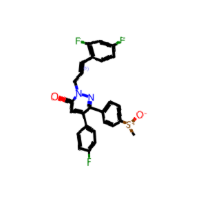 C[S+]([O-])c1ccc(-c2nn(C/C=C/c3ccc(F)cc3F)c(=O)cc2-c2ccc(F)cc2)cc1